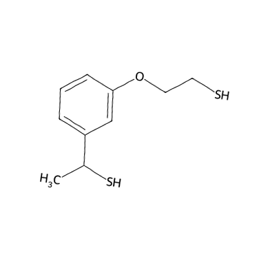 CC(S)c1cccc(OCCS)c1